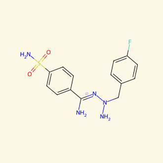 N/C(=N\N(N)Cc1ccc(F)cc1)c1ccc(S(N)(=O)=O)cc1